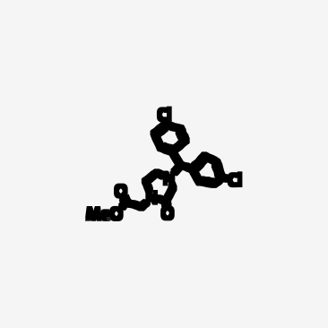 COC(=O)CN1CCN(C(c2ccc(Cl)cc2)c2ccc(Cl)cc2)CC1=O